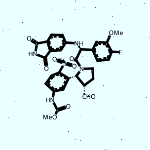 CCS(=O)(=O)c1ccc(NC(=O)OC)cc1[C@H]1[C@@H](C=O)CCN1C(=O)[C@@H](Nc1ccc2c(c1)C(=O)NC2=O)c1ccc(F)c(OC)c1